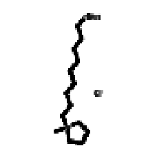 CCCCCCCCCCCCCCCCCC[N+]1(C)CCCC1.[Cl-]